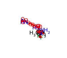 CC(C)(C)[C@H](c1cc(-c2cc(F)ccc2F)cn1Cc1ccccc1)N(CCCN)C(=O)CSC[C@H](NC(=O)CCOCCOCCOCCOCCNC(=O)CCN1C(=O)C=CC1=O)C(=O)O